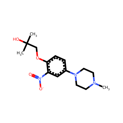 CN1CCN(c2ccc(OCC(C)(C)O)c([N+](=O)[O-])c2)CC1